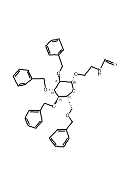 O=CNCCO[C@@H]1O[C@H](COCc2ccccc2)[C@@H](OCc2ccccc2)[C@H](OCc2ccccc2)[C@H]1OCc1ccccc1